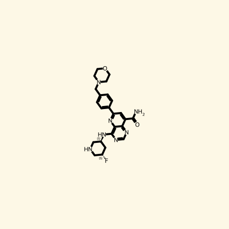 NC(=O)c1cc(-c2ccc(CN3CCOCC3)cc2)nc2c(N[C@@H]3CNC[C@@H](F)C3)ncnc12